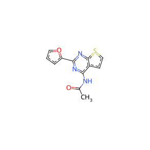 CC(=O)Nc1nc(-c2ccco2)nc2sccc12